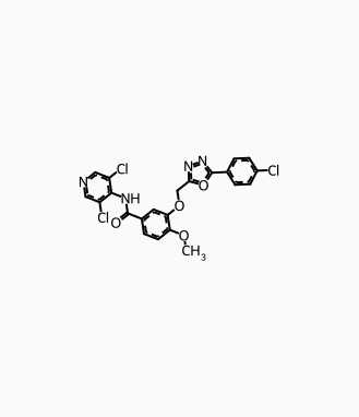 COc1ccc(C(=O)Nc2c(Cl)cncc2Cl)cc1OCc1nnc(-c2ccc(Cl)cc2)o1